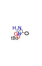 CC(C)(C)OC(=O)N1CC(N)CC(c2ccccc2)C1